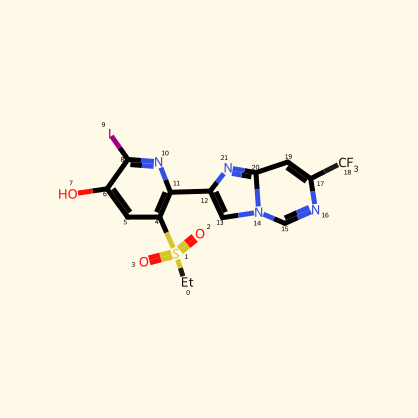 CCS(=O)(=O)c1cc(O)c(I)nc1-c1cn2cnc(C(F)(F)F)cc2n1